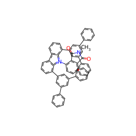 CN1C(=O)c2cccc(-n3c4c(-c5cc(-c6ccccc6)cc(-c6ccccc6)c5)cccc4c4cccc(-c5cc(-c6ccccc6)cc(-c6ccccc6)c5)c43)c2C1=O